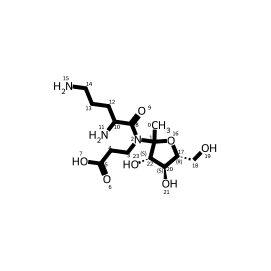 CC1(N(CCC(=O)O)C(=O)C(N)CCCN)O[C@H](CO)[C@@H](O)[C@@H]1O